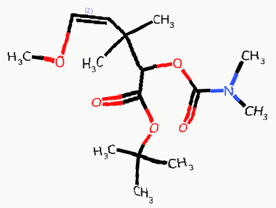 CO/C=C\C(C)(C)C(OC(=O)N(C)C)C(=O)OC(C)(C)C